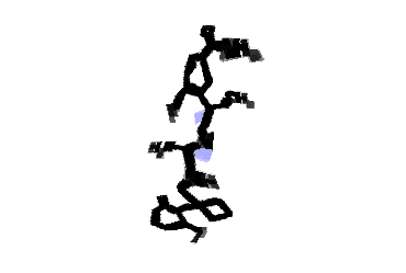 C=C/C(=C\N=C(/N)NCC1(c2ncccc2F)CCC1)c1cc(C(N)=O)ccc1F